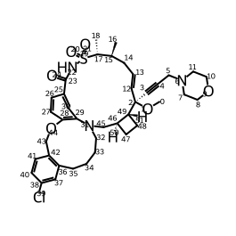 CO[C@]1(C#CCN2CCOCC2)/C=C/C[C@H](C)[C@@H](C)S(=O)(=O)NC(=O)c2ccc3c(c2)N(CCCCc2cc(Cl)ccc2CO3)C[C@@H]2CC[C@H]21